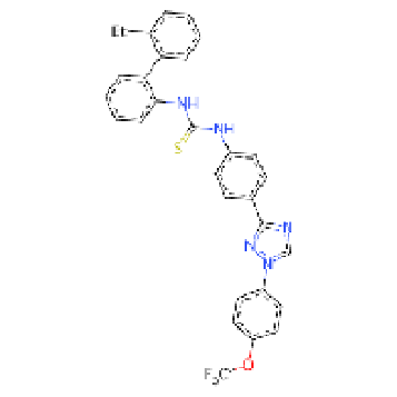 CCc1ccccc1-c1ccccc1NC(=S)Nc1ccc(-c2ncn(-c3ccc(OC(F)(F)F)cc3)n2)cc1